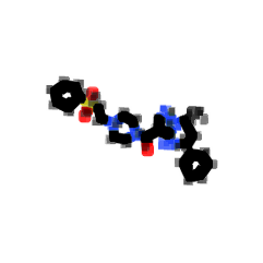 O=C(c1cnn2c1N[C@@H](c1ccccc1)C[C@H]2C(F)(F)F)N1CCN(CCS(=O)(=O)c2ccccc2)CC1